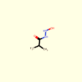 CC(C(=O)NNO)C(F)(F)F